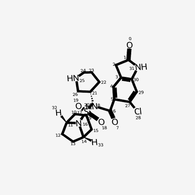 O=C1Cc2cc(C(=O)N[C@H]3C[C@H]4CC[C@@H](C3)N4S(=O)(=O)C[C@H]3CCCNC3)c(Cl)cc2N1